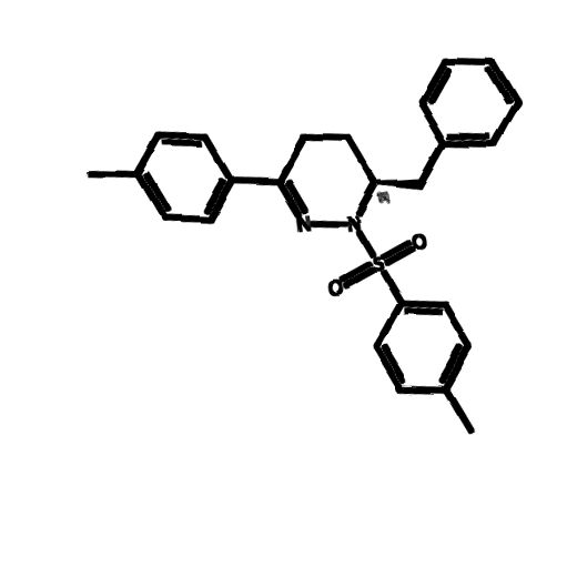 Cc1ccc(C2=NN(S(=O)(=O)c3ccc(C)cc3)[C@H](Cc3ccccc3)CC2)cc1